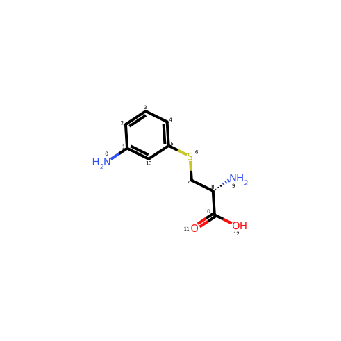 Nc1cccc(SC[C@H](N)C(=O)O)c1